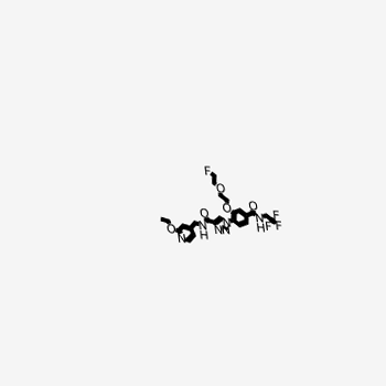 CCOc1cc(CNC(=O)c2cn(-c3ccc(C(=O)NCC(F)(F)F)cc3OCCOCCF)nn2)ccn1